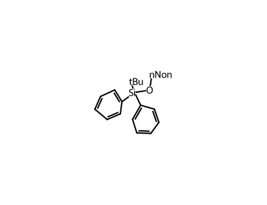 CCCCCCCCCO[Si](c1ccccc1)(c1ccccc1)C(C)(C)C